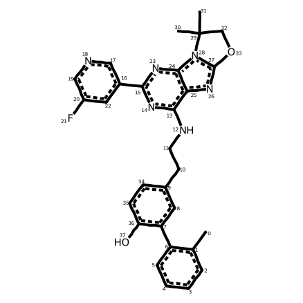 Cc1ccccc1-c1cc(CCNc2nc(-c3cncc(F)c3)nc3c2nc2n3C(C)(C)CO2)ccc1O